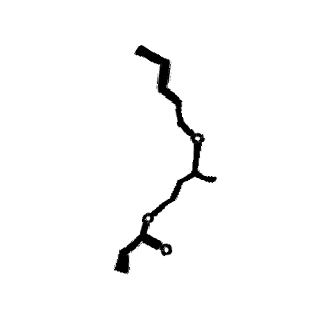 C=CCCCOC(C)CCOC(=O)C=C